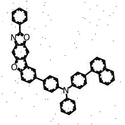 c1ccc(-c2nc3cc4oc5ccc(-c6ccc(N(c7ccccc7)c7ccc(-c8cccc9ccccc89)cc7)cc6)cc5c4cc3o2)cc1